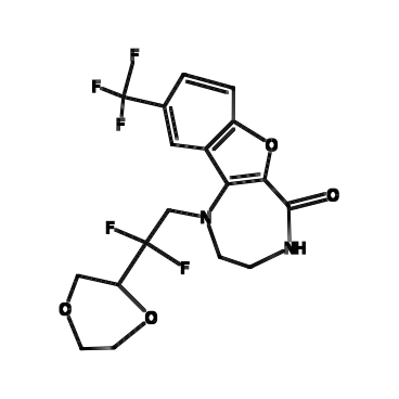 O=C1NCCN(CC(F)(F)C2COCCO2)c2c1oc1ccc(C(F)(F)F)cc21